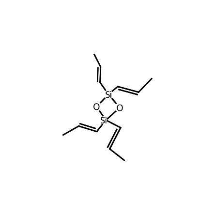 CC=C[Si]1(C=CC)O[Si](C=CC)(C=CC)O1